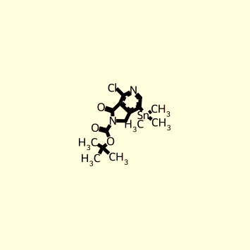 CC(C)(C)OC(=O)N1Cc2[c]([Sn]([CH3])([CH3])[CH3])cnc(Cl)c2C1=O